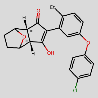 CCc1ccc(Oc2ccc(Cl)cc2)cc1C1=C(O)[C@@H]2C3CCC(O3)[C@@H]2C1=O